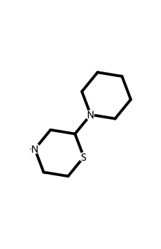 C1CCN(C2C[N]CCS2)CC1